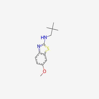 COc1ccc2nc(NCC(C)(C)C)sc2c1